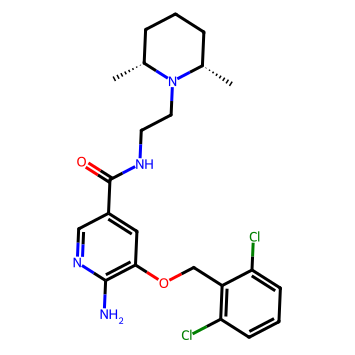 C[C@@H]1CCC[C@H](C)N1CCNC(=O)c1cnc(N)c(OCc2c(Cl)cccc2Cl)c1